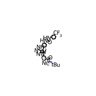 CC(C)(C)/C=C(\C#N)C(=O)N1CCC[C@@H](n2nc(-c3ccc(NC(=O)Nc4cccc(C(F)(F)F)c4)cc3)c3c(N)ncnc32)C1